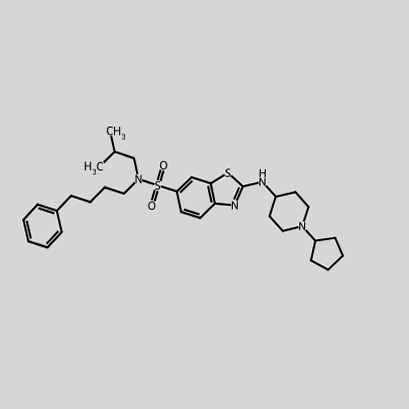 CC(C)CN(CCCCc1ccccc1)S(=O)(=O)c1ccc2nc(NC3CCN(C4CCCC4)CC3)sc2c1